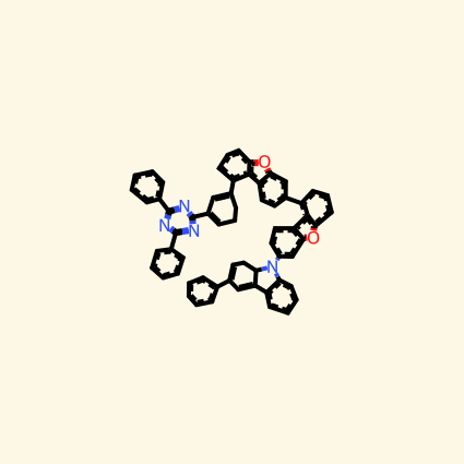 C1=C(c2ccccc2)C=C2c3ccccc3N(c3ccc4c(c3)oc3cccc(-c5ccc6c(c5)oc5cccc(C7=CC(c8nc(-c9ccccc9)nc(-c9ccccc9)n8)=CCC7)c56)c34)C2C1